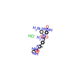 Cc1cc(C(=O)N[C@@H]2CCCNC2=O)ncc1-c1ccc(C[C@H](N)C(=O)N(c2ccc3[nH]c(=O)[nH]c3c2)C(=O)[C@H]2CC[C@H](CN)CC2)cc1.Cl